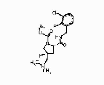 CN(C)C[C@@]1(F)C[C@@H](C(=O)NCc2cccc(Cl)c2F)N(C(=O)OC(C)(C)C)C1